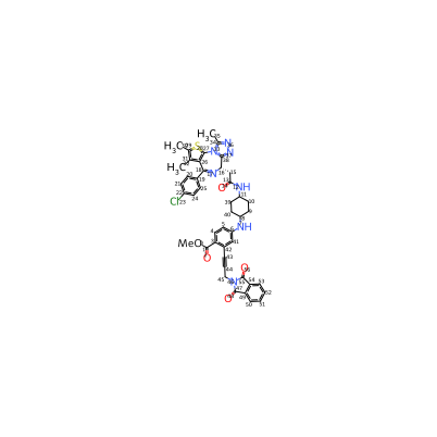 COC(=O)c1ccc(NC2CCC(NC(=O)C[C@@H]3N=C(c4ccc(Cl)cc4)c4c(sc(C)c4C)-n4c(C)nnc43)CC2)cc1C#CCN1C(=O)c2ccccc2C1=O